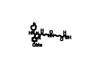 COc1ccc2c(NC3CCN(C)CC3)nc(NCCNC(=O)CCCCC(=O)NO)nc2c1